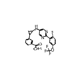 O=C(O)c1cccc(C2CC2Nc2cnc(-c3cc(OC(F)(F)F)ccc3F)nc2)c1